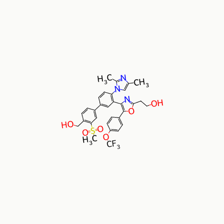 Cc1cn(-c2ccc(-c3ccc(CO)c(S(C)(=O)=O)c3)cc2-c2nc(CCO)oc2-c2ccc(OC(F)(F)F)cc2)c(C)n1